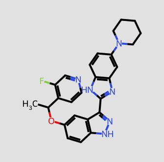 CC(Oc1ccc2[nH]nc(-c3nc4cc(N5CCCCC5)ccc4[nH]3)c2c1)c1ccncc1F